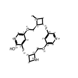 CN1CC[C@H]1COc1cncc(F)c1.Cl.Fc1cncc(OC[C@@H]2CCN2)c1